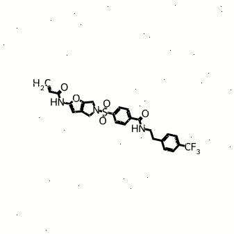 C=CC(=O)Nc1cc2c(o1)CN(S(=O)(=O)c1ccc(C(=O)NCCc3ccc(C(F)(F)F)cc3)cc1)C2